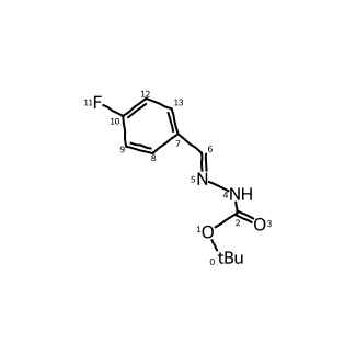 CC(C)(C)OC(=O)NN=Cc1ccc(F)cc1